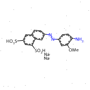 COc1cc(N=Nc2ccc3cc(S(=O)(=O)O)cc(S(=O)(=O)O)c3c2)ccc1N.[Na].[Na]